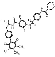 Cc1c(C)n(C)c(=O)n(-c2ccc(C[C@H](NC(=O)c3cc(F)c(NS(=O)(=O)c4ccc(NC(=O)C5CCOCC5)cc4)cc3F)C(=O)O)cc2)c1=O